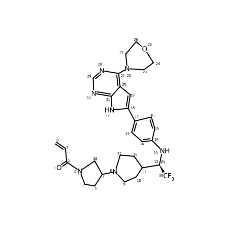 C=CC(=O)N1CCC(N2CCC([C@@H](Nc3ccc(-c4cc5c(N6CCOCC6)ncnc5[nH]4)cc3)C(F)(F)F)CC2)C1